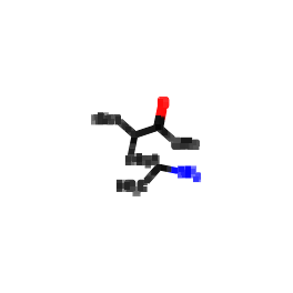 CCCCCCCCCC(CCCCCCC)C(=O)OC.NCC(=O)O